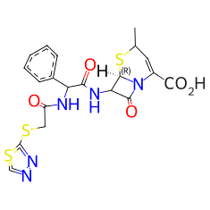 CC1C=C(C(=O)O)N2C(=O)C(NC(=O)C(NC(=O)CSc3nncs3)c3ccccc3)[C@H]2S1